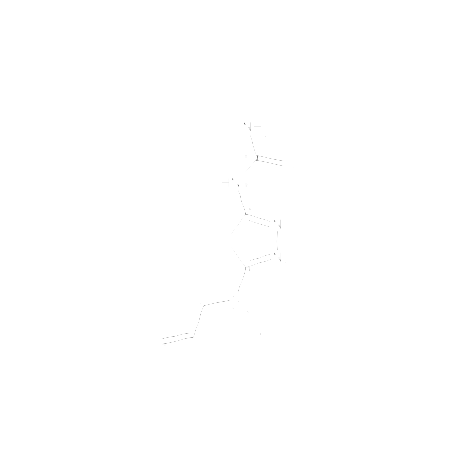 C=CC[S+]([O-])c1nnc(NC(N)=O)s1